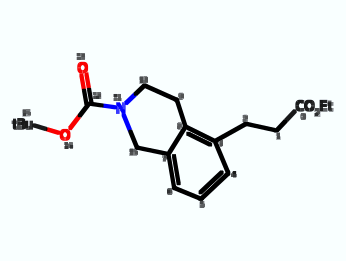 CCOC(=O)CCc1cccc2c1CCN(C(=O)OC(C)(C)C)C2